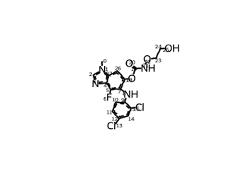 Cn1cnc2c(F)c(Nc3ccc(Cl)cc3Cl)c(OC(=O)NOCCO)cc21